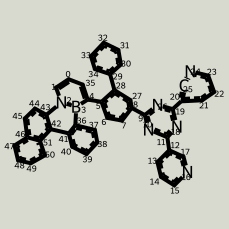 C1=CN2B(C(c3ccc(-c4nc(-c5cccnc5)nc(-c5cccnc5)n4)cc3-c3ccccc3)=C1)c1ccccc1-c1c2ccc2ccccc12